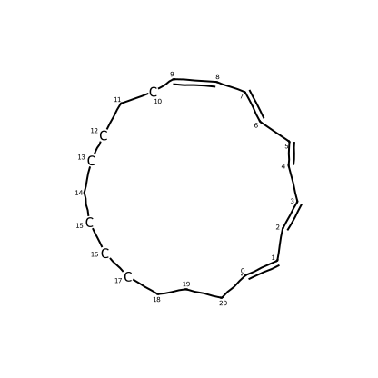 [C]1=C/C=C/C=C/C=C/C=C\CCCCCCCCCCC/1